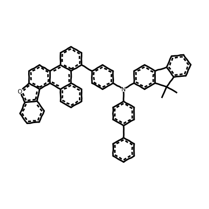 CC1(C)c2ccccc2-c2ccc(N(c3ccc(-c4ccccc4)cc3)c3ccc(-c4cccc5c6ccc7oc8ccccc8c7c6c6ccccc6c45)cc3)cc21